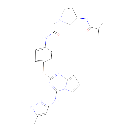 Cc1cc(Nc2nc(Sc3ccc(NC(=O)CN4CC[C@@H](NC(=O)C(C)C)C4)cc3)nc3cccn23)n[nH]1